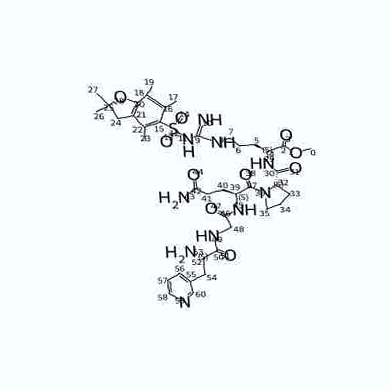 COC(=O)[C@H](CCCNC(=N)NS(=O)(=O)c1c(C)c(C)c2c(c1C)CC(C)(C)O2)NC(=O)[C@@H]1CCCN1C(=O)[C@H](CCC(N)=O)NC(=O)CNC(=O)[C@@H](N)Cc1cccnc1